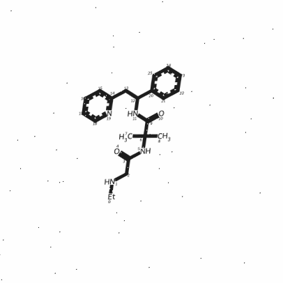 CCNCC(=O)NC(C)(C)C(=O)NC(Cc1ccccn1)c1ccccc1